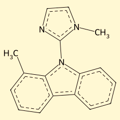 Cc1cccc2c3ccccc3n(-c3nccn3C)c12